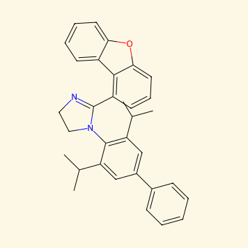 CC(C)c1cc(-c2ccccc2)cc(C(C)C)c1N1CCN=C1c1cccc2oc3ccccc3c12